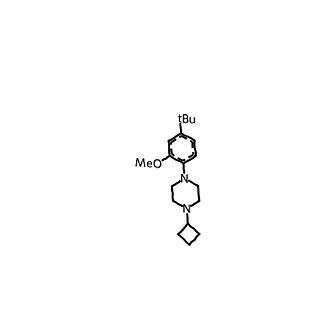 COc1cc(C(C)(C)C)ccc1N1CCN(C2CCC2)CC1